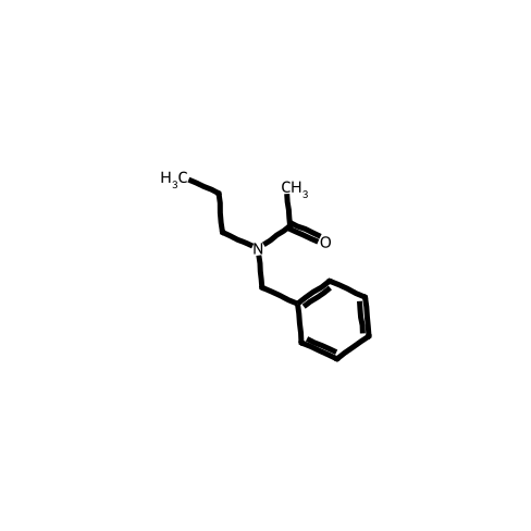 CCCN(Cc1ccccc1)C(C)=O